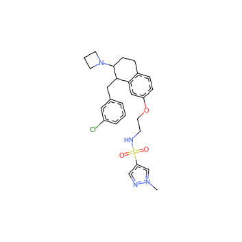 Cn1cc(S(=O)(=O)NCCOc2ccc3c(c2)C(Cc2cccc(Cl)c2)C(N2CCC2)CC3)cn1